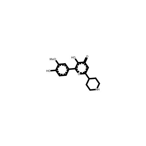 COc1cc(-c2oc(C3CCNCC3)cc(=O)c2O)ccc1O